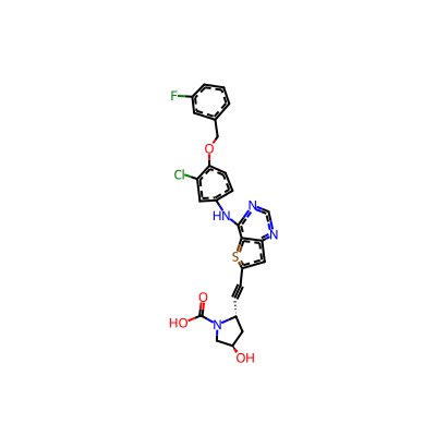 O=C(O)N1C[C@H](O)C[C@H]1C#Cc1cc2ncnc(Nc3ccc(OCc4cccc(F)c4)c(Cl)c3)c2s1